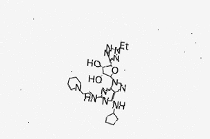 CCn1nnc([C@H]2O[C@@H](n3cnc4c(NC5CCCC5)nc(NCCN5CCCCC5)nc43)[C@H](O)[C@@H]2O)n1